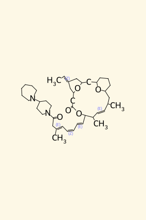 C/C=C1\CC2CC(=O)OC(/C=C/C=C\C=C(/C)CC(=O)N3CCC(N4CCCCCC4)CC3)C(C)/C=C/C(C)CC3CCCC(CC(C1)O2)O3